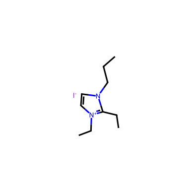 CCCn1cc[n+](CC)c1CC.[I-]